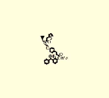 COC(=O)C(Cc1ccc(OCCN(CC2CC2)C(=O)Cc2cccs2)cc1)Nc1ccccc1C(=O)c1ccccc1